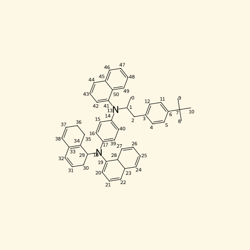 CC(Cc1ccc(C(C)(C)C)cc1)N(c1ccc(N(C2=CC=CC3C=CC=CC23)C2CC=CC3=C2CCC=C3)cc1)c1cccc2ccccc12